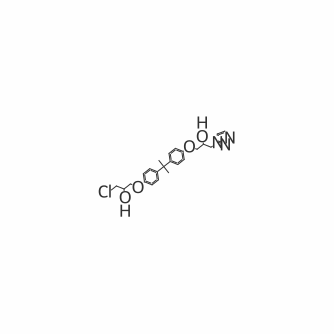 CC(C)(c1ccc(OC[C@@H](O)Cn2ccnn2)cc1)c1ccc(OC[C@@H](O)CCl)cc1